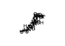 COCCNC(=O)c1cn2ccc(Sc3nc(CO)c(N4CCC5(CC4)CO[C@@H](C)[C@H]5NC(=O)OC(C)(C)C)nc3C)c(Cl)c2n1